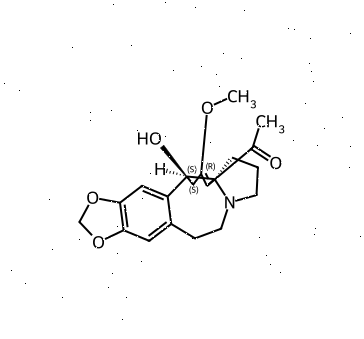 COC1=C(C(C)=O)[C@]23CCCN2CCc2cc4c(cc2[C@@H]3[C@@H]1O)OCO4